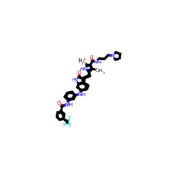 Cc1[nH]c(/C=C2\C(=O)Nc3cc(Nc4cccc(NC(=O)c5cccc(C(F)(F)F)c5)c4)ccc32)c(C)c1C(=O)NCCCN1CCCC1